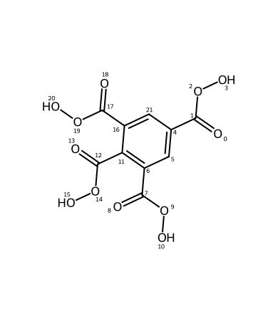 O=C(OO)c1cc(C(=O)OO)c(C(=O)OO)c(C(=O)OO)c1